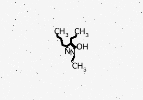 CCCCc1nn(CCC)c(O)c1CCC